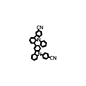 N#Cc1ccc(N2C3=C(C=C(C4C=CC=C5c6cc(C#N)ccc6N(c6ccccc6)C54)CC3)C3C=CC=CC32)cc1